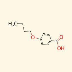 [CH2]CCCOc1ccc(C(=O)O)cc1